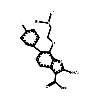 CCCCC(=O)c1c(NC(C)=O)sc2c(OCCN(CC)CC)c(-c3ccc(F)cc3)ccc12